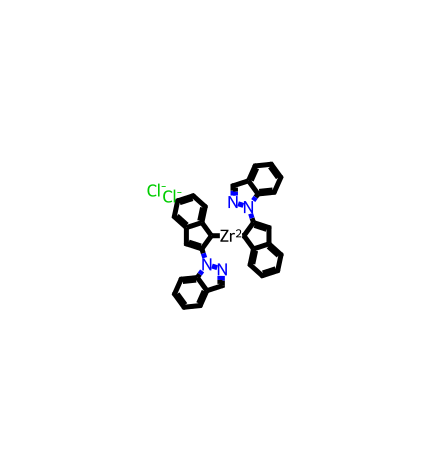 C1=C(n2ncc3ccccc32)[CH]([Zr+2][CH]2C(n3ncc4ccccc43)=Cc3ccccc32)c2ccccc21.[Cl-].[Cl-]